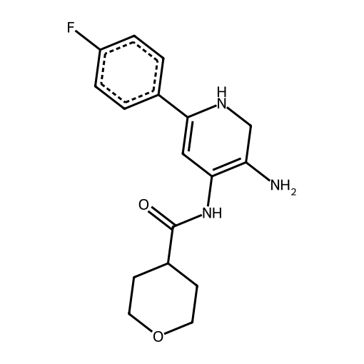 NC1=C(NC(=O)C2CCOCC2)C=C(c2ccc(F)cc2)NC1